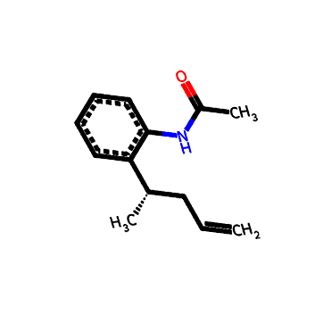 C=CC[C@H](C)c1ccccc1NC(C)=O